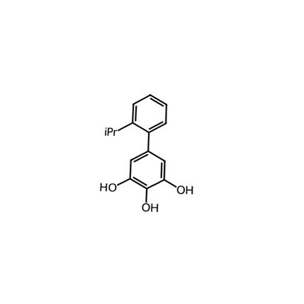 CC(C)c1ccccc1-c1cc(O)c(O)c(O)c1